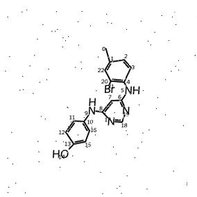 Cc1ccc(Nc2cc(Nc3ccc(O)cc3)ncn2)c(Br)c1